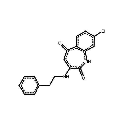 O=c1[nH]c2cc(Cl)ccc2c(=O)cc1NCCc1ccccc1